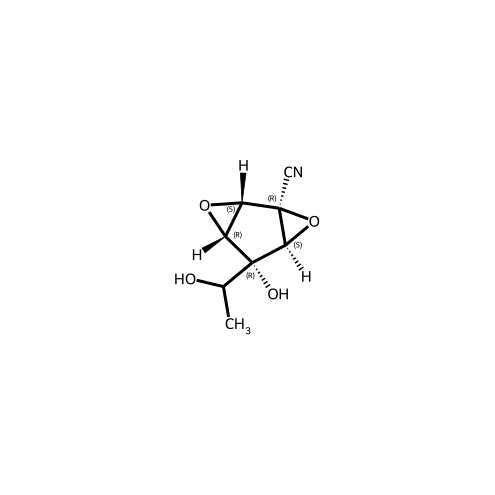 CC(O)[C@@]1(O)[C@@H]2O[C@@H]2[C@@]2(C#N)O[C@H]21